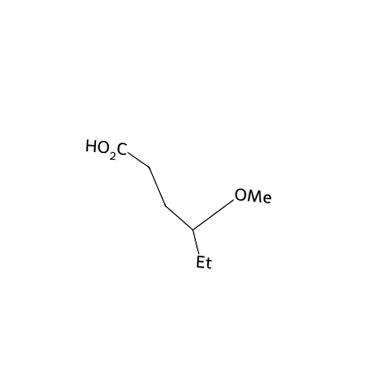 CCC(CCC(=O)O)OC